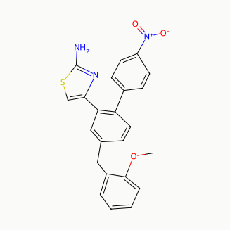 COc1ccccc1Cc1ccc(-c2ccc([N+](=O)[O-])cc2)c(-c2csc(N)n2)c1